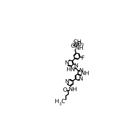 CCCCC(=O)Nc1cncc(-c2cnc3[nH]nc(-c4nc5c(-c6cc(F)cc(CNS(C)(=O)=O)c6)cncc5[nH]4)c3c2)c1